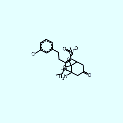 CCOC1(OCC)C2CC(=O)CC1(N)NC(CCc1cccc(Cl)c1)=C2[N+](=O)[O-]